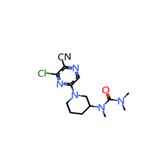 CN(C)C(=O)N(C)C1CCCN(c2cnc(C#N)c(Cl)n2)C1